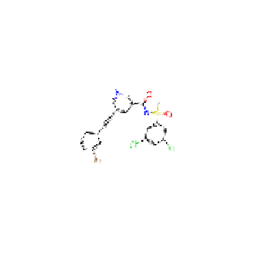 CS(=O)(=NC(=O)c1cncc(C#Cc2cccc(Br)c2)c1)c1cc(Cl)cc(Cl)c1